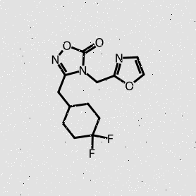 O=c1onc(CC2CCC(F)(F)CC2)n1Cc1ncco1